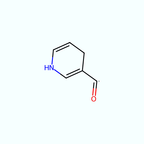 O=[C]C1=CNC=CC1